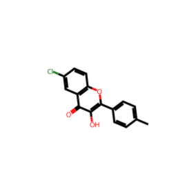 Cc1ccc(-c2oc3ccc(Cl)cc3c(=O)c2O)cc1